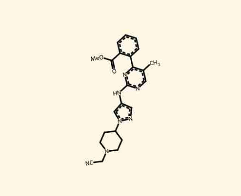 COC(=O)c1ccccc1-c1nc(Nc2cnn(C3CCN(CC#N)CC3)c2)ncc1C